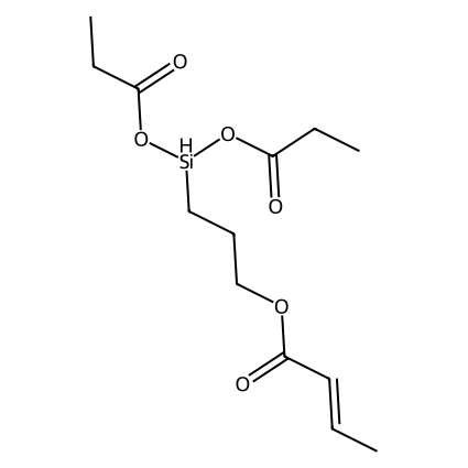 CC=CC(=O)OCCC[SiH](OC(=O)CC)OC(=O)CC